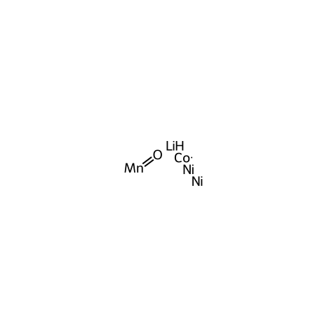 [Co].[LiH].[Ni].[Ni].[O]=[Mn]